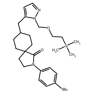 CC(C)(C)c1ccc(N2CCC3(CCC(Cc4ccnn4COCC[Si](C)(C)C)CC3)C2=O)cc1